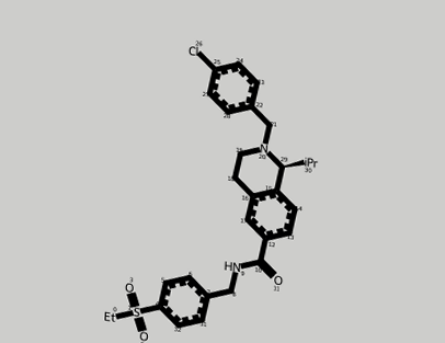 CCS(=O)(=O)c1ccc(CNC(=O)c2ccc3c(c2)CCN(Cc2ccc(Cl)cc2)[C@H]3C(C)C)cc1